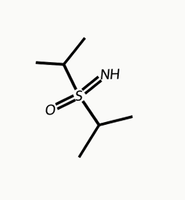 CC(C)S(=N)(=O)C(C)C